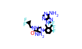 Nc1ncnc2c1ncn2Cc1c(N2CC[C@](N)(C(=O)NCC3CC3(F)F)C2)ccc(F)c1C(F)(F)F